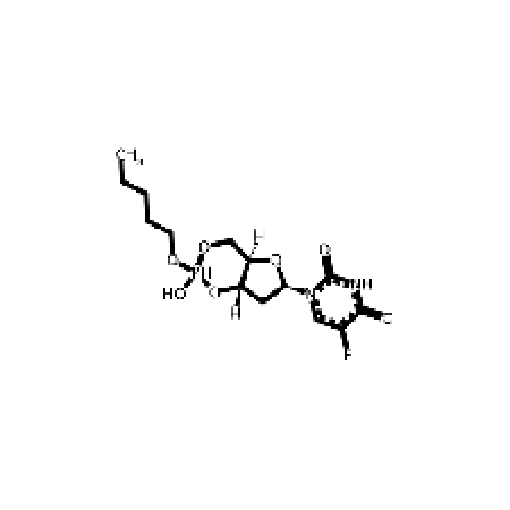 CCCCCO[PH]1(O)OC[C@H]2O[C@@H](n3cc(F)c(=O)[nH]c3=O)C[C@@H]2O1